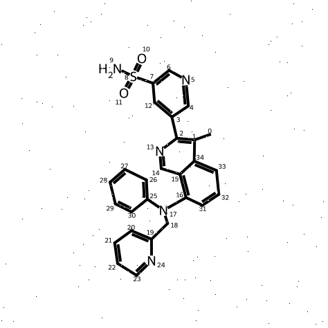 Cc1c(-c2cncc(S(N)(=O)=O)c2)ncc2c(N(Cc3ccccn3)c3ccccc3)cccc12